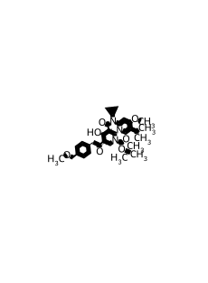 COC[C@H]1CC[C@H](CC(=O)[C@@H]2CN(C(=O)OC(C)(C)C)C[C@H](C(=O)N(c3cc(OC)c(C(C)C)cn3)C3CC3)[C@@H]2O)CC1